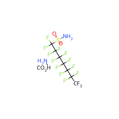 NC(=O)O.NS(=O)(=O)C(F)(F)C(F)(F)C(F)(F)C(F)(F)C(F)(F)C(F)(F)C(F)(F)F